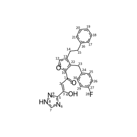 O=C(C=C(O)c1nc[nH]n1)c1occ(CCc2ccccc2)c1Cc1ccc(F)cc1